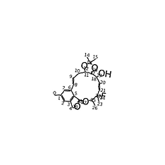 Cc1cc(C)c2c(c1)/C=C/CC1OC(C)(C)OC1C(O)/C=C\C(C)(F)C(C)OC2=O